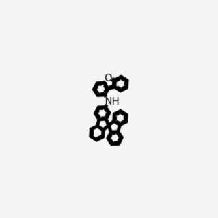 C1=CC2c3ccc(Nc4cccc5oc6ccccc6c45)cc3C3(c4ccccc4-c4ccccc43)C2C=C1